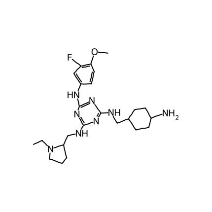 CCN1CCCC1CNc1nc(NCC2CCC(N)CC2)nc(Nc2ccc(OC)c(F)c2)n1